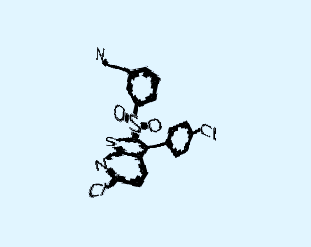 N#Cc1cccc(S(=O)(=O)c2sc3nc(Cl)ccc3c2-c2ccc(Cl)cc2)c1